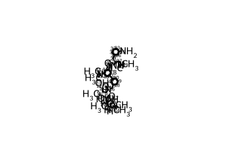 C[C@@H]1[C@@H](NC(=O)[C@@H]2[C@H]([C@H](C)O)[C@H](CO)ON2Cc2cccc(-c3cc(C(=O)N[C@@H](Cc4cccc(N)c4)CN(C)C)cc(N(C)C)c3)c2)C[C@H]2C[C@@H]1C2(C)C